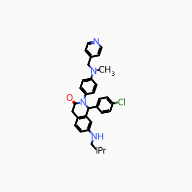 CC(C)CNc1ccc2c(c1)C(c1ccc(Cl)cc1)N(c1ccc(N(C)Cc3ccncc3)cc1)C(=O)C2